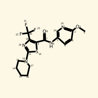 COc1ccc(NC(=O)c2sc(N3CCCCC3)nc2C(F)(F)F)cn1